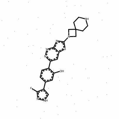 Oc1cc(-c2c[nH]nc2F)ccc1-c1cc2sc(N3CC4(CCNCC4)C3)nc2nn1